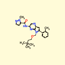 Cc1ccccc1-c1cc2ncc(NC(=O)c3ccnn3C)nc2n1COCC[Si](C)(C)C